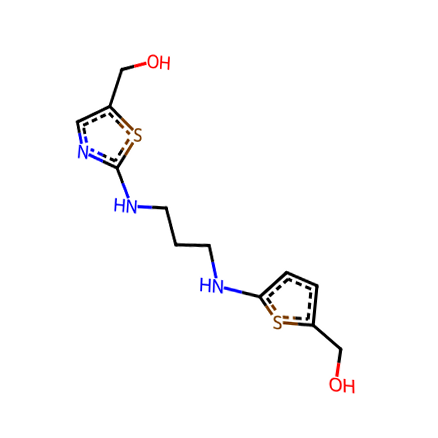 OCc1ccc(NCCCNc2ncc(CO)s2)s1